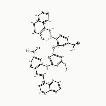 CCSc1nc(Nc2cc(N(CC)CC)ccc2/N=N/c2cccc3ccccc23)nc(Nc2cc(N(CC)CC)ccc2/N=N/c2c(S(=O)(=O)O)ccc3ccccc23)n1